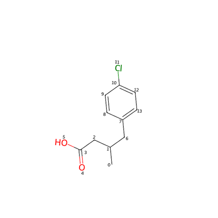 CC(CC(=O)O)Cc1ccc(Cl)cc1